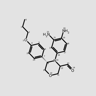 CCCOc1ccc([C@H]2COCC(C=O)N2c2ccc(N)c(N)c2)cc1